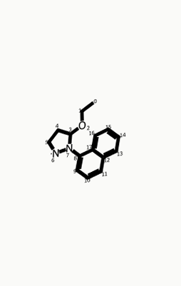 CCOC1CC[N]N1c1cccc2ccccc12